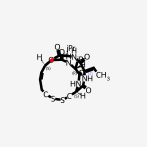 C/C=C1\NC(=O)[C@H]2CSSCCC=C[C@H](CC(=O)N[C@H](C(C)C)C(=O)N2)OC(=O)[C@H](C(C)C)NC1=O